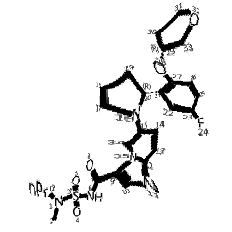 CCCN(C)S(=O)(=O)NC(=O)c1cnc2ccc(N3CCC[C@@H]3c3cc(F)ccc3O[C@@H]3CCOC3)cn12